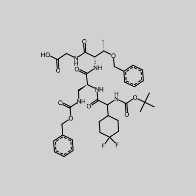 C[C@H](OCc1ccccc1)[C@H](NC(=O)[C@H](CNC(=O)OCc1ccccc1)NC(=O)C(NC(=O)OC(C)(C)C)C1CCC(F)(F)CC1)C(=O)NCC(=O)O